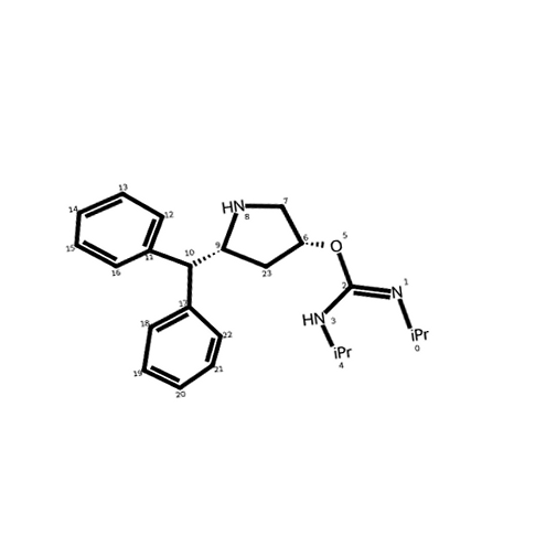 CC(C)/N=C(\NC(C)C)O[C@H]1CN[C@@H](C(c2ccccc2)c2ccccc2)C1